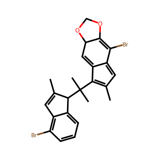 CC1=Cc2c(Br)cccc2C1C(C)(C)C1=C(C)C=C2C1=CC1OCOC1=C2Br